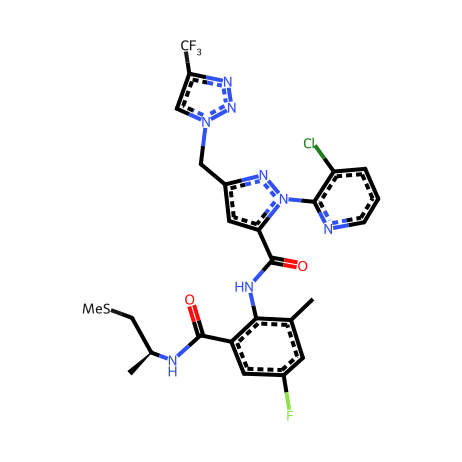 CSC[C@H](C)NC(=O)c1cc(F)cc(C)c1NC(=O)c1cc(Cn2cc(C(F)(F)F)nn2)nn1-c1ncccc1Cl